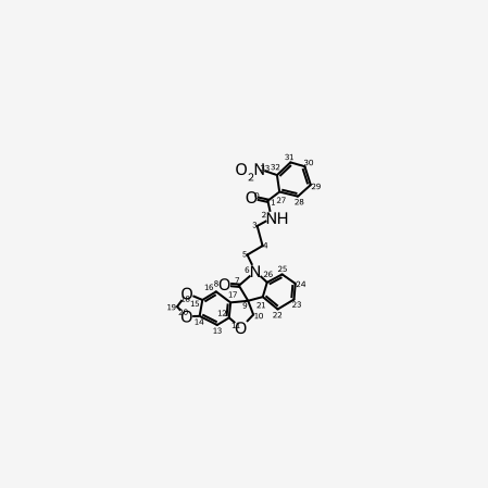 O=C(NCCCN1C(=O)C2(COc3cc4c(cc32)OCO4)c2ccccc21)c1ccccc1[N+](=O)[O-]